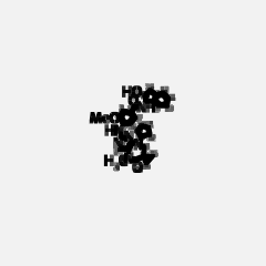 COc1cc(C(=O)NC2c3ccccc3C[C@H]2O)ccc1Nc1ncc2c(n1)N(C1CCCC1)CC1(CC1)C(=O)N2C